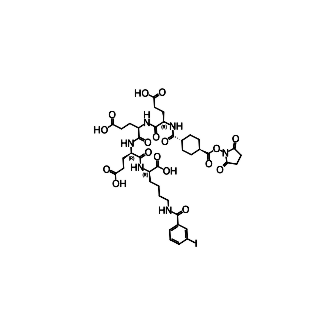 O=C(O)CCC(NC(=O)[C@@H](CCC(=O)O)NC(=O)[C@H]1CC[C@H](C(=O)ON2C(=O)CCC2=O)CC1)C(=O)N[C@H](CCC(=O)O)C(=O)N[C@H](CCCCNC(=O)c1cccc(I)c1)C(=O)O